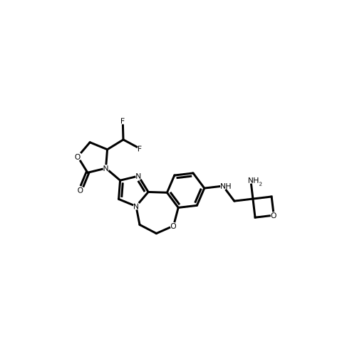 NC1(CNc2ccc3c(c2)OCCn2cc(N4C(=O)OCC4C(F)F)nc2-3)COC1